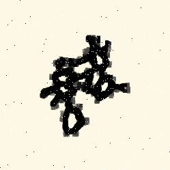 Cc1cc(C(C)Nc2ccc(Cl)nc2-c2cc(F)c(O)c(C=O)c2)c2oc(N3CCCCC3)c(C)c(=O)c2c1